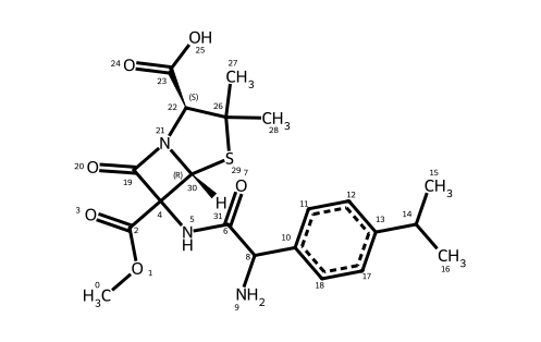 COC(=O)C1(NC(=O)C(N)c2ccc(C(C)C)cc2)C(=O)N2[C@@H](C(=O)O)C(C)(C)S[C@@H]21